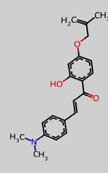 C=C(C)COc1ccc(C(=O)C=Cc2ccc(N(C)C)cc2)c(O)c1